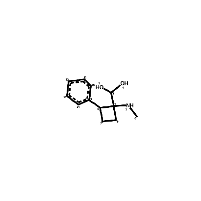 CNC1(C(O)O)CCC1c1ccccc1